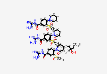 CS(=O)(=O)c1cc(C(=O)NC(=N)N)ccc1N1CCCCC1.CS(=O)(=O)c1cc(C(=O)NC(=N)N)ccc1N1CCCCC1.CS(=O)(=O)c1cc(C(=O)NC(=N)N)ccc1N1CCCCC1.O=C(O)CC(O)(CC(=O)O)C(=O)O